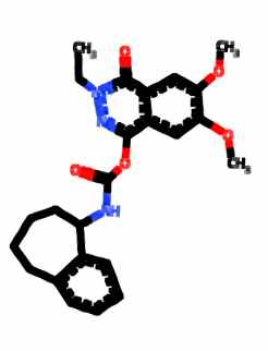 CCn1nc(OC(=O)NC2CCCCc3ccccc32)c2cc(OC)c(OC)cc2c1=O